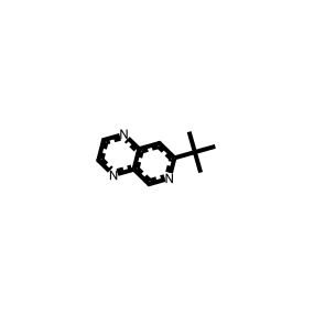 CC(C)(C)c1cc2nccnc2cn1